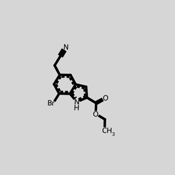 CCOC(=O)c1cc2cc(CC#N)cc(Br)c2[nH]1